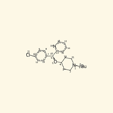 CCCCN1CCC(O[C@@H](c2ccc(Cl)cc2)c2ccccn2)CC1